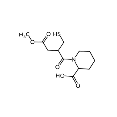 COC(=O)CC(CS)C(=O)N1CCCCC1C(=O)O